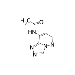 CC(=O)Nc1c[c]nn2cnnc12